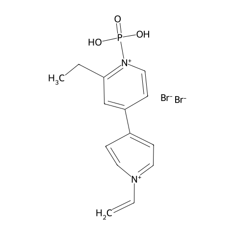 C=C[n+]1ccc(-c2cc[n+](P(=O)(O)O)c(CC)c2)cc1.[Br-].[Br-]